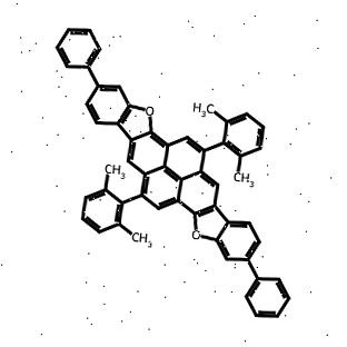 Cc1cccc(C)c1-c1cc2c3oc4cc(-c5ccccc5)ccc4c3cc3c(-c4c(C)cccc4C)cc4c5oc6cc(-c7ccccc7)ccc6c5cc1c4c32